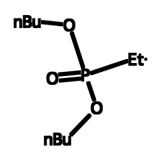 C[CH]P(=O)(OCCCC)OCCCC